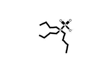 CCCC[P+](CCCC)(CCCC)S(=O)(=O)[O-]